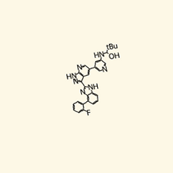 CC(C)(C)C(O)Nc1cncc(-c2cnc3[nH]nc(-c4nc5c(-c6ccccc6F)cccc5[nH]4)c3c2)c1